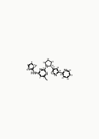 Cc1cc(Nc2ncco2)nc(N2CCC[C@H]2c2cc(-c3ccccn3)no2)n1